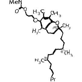 CNC(=O)OCCOc1c(C)c(C)c2c(c1C)CC[C@@](C)(CCC[C@H](C)CCC[C@H](C)CCCC(C)C)O2